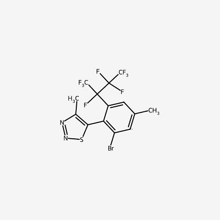 Cc1[c]c(Br)c(-c2snnc2C)c(C(F)(C(F)(F)F)C(F)(F)C(F)(F)F)c1